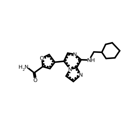 NC(=O)c1cc(-c2cnc(NCC3CCCCC3)c3nccn23)co1